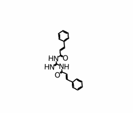 N=C(NC(=O)C=Cc1ccccc1)NC(=O)C=Cc1ccccc1